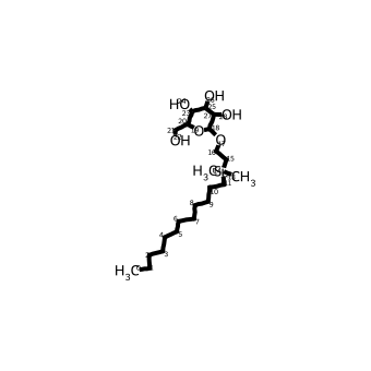 CCCCCCCCCCCC[Si](C)(C)CCOC1OC(CO)C(O)C(O)C1O